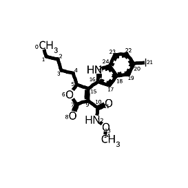 CCCCCC1OC(=O)C(C(=O)NOC)=C1c1cc2cc(I)ccc2[nH]1